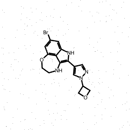 Brc1cc2c3c(c(-c4cnn(C5COC5)c4)[nH]c3c1)NCCO2